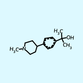 CN1CCC(c2ccc(C(C)(C)O)cc2)CC1